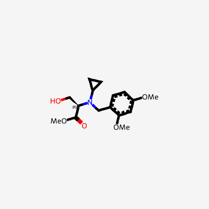 COC(=O)[C@@H](CO)N(Cc1ccc(OC)cc1OC)C1CC1